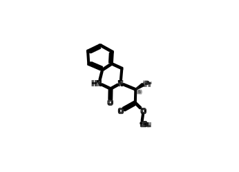 CC(C)[C@@H](C(=O)OC(C)(C)C)N1Cc2ccccc2NC1=O